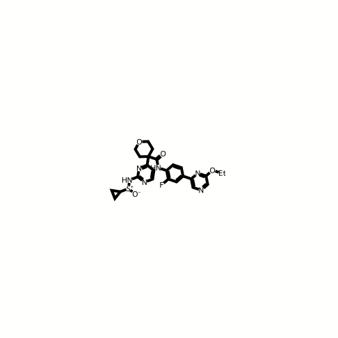 CCOc1cncc(-c2ccc(NC(=O)C3(c4ccnc(N[S+]([O-])C5CC5)n4)CCOCC3)c(F)c2)n1